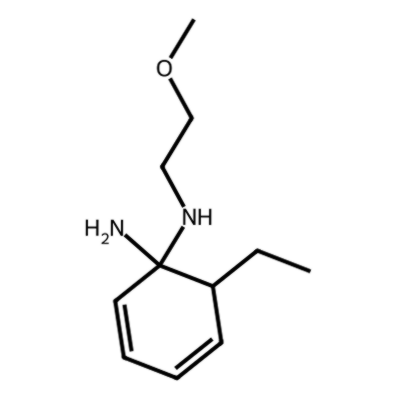 CCC1C=CC=CC1(N)NCCOC